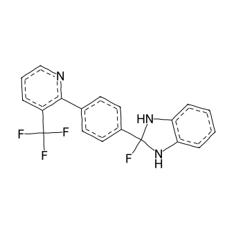 FC(F)(F)c1cccnc1-c1ccc(C2(F)Nc3ccccc3N2)cc1